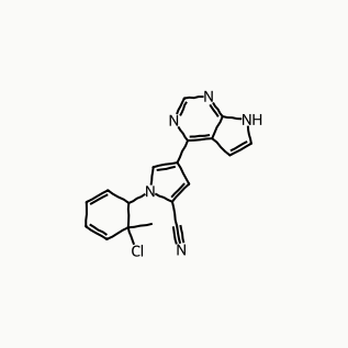 CC1(Cl)C=CC=CC1n1cc(-c2ncnc3[nH]ccc23)cc1C#N